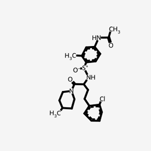 CC(=O)Nc1ccc([S+]([O-])NC(CCc2ccccc2Cl)C(=O)N2CCC(C)CC2)c(C)c1